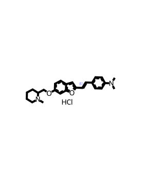 CN(C)c1ccc(/C=C/c2cc3ccc(OCC4CCCCN4C)cc3o2)cc1.Cl